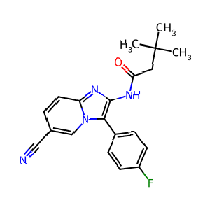 CC(C)(C)CC(=O)Nc1nc2ccc(C#N)cn2c1-c1ccc(F)cc1